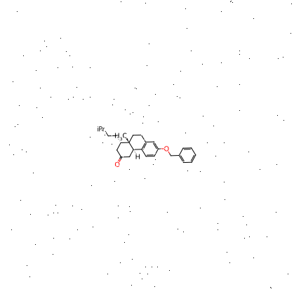 CC(C)CC[C@H]1CC(=O)C[C@@H]2c3ccc(OCc4ccccc4)cc3CC[C@@]12C